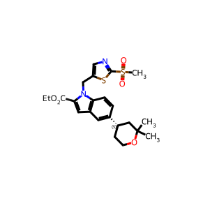 CCOC(=O)c1cc2cc([C@H]3CCOC(C)(C)C3)ccc2n1Cc1cnc(S(C)(=O)=O)s1